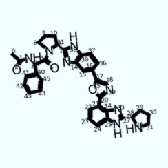 CC(=O)N[C@@H](C(=O)N1CCC[C@H]1c1nc2cc(-c3cnc(-c4cccc5[nH]c([C@@H]6CCCN6)nc45)o3)ccc2[nH]1)c1ccccc1